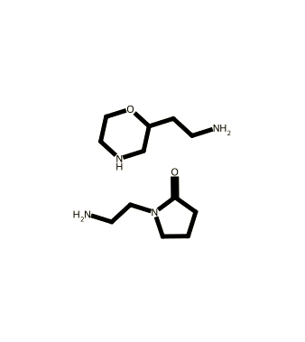 NCCC1CNCCO1.NCCN1CCCC1=O